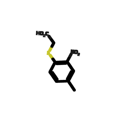 Cc1ccc(SCC(=O)O)c([N+](=O)[O-])c1